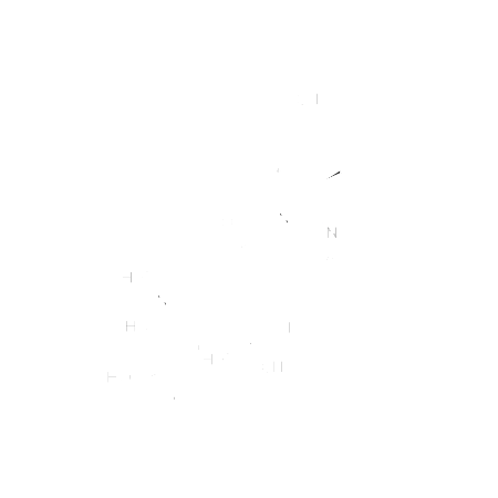 CCC[C@H]1CN(CC(=O)c2cc(N(C)C)c(OCC(=O)O)c(C(C)(C)C)c2)/C(=N\Br)[C@@H]1c1ccccc1